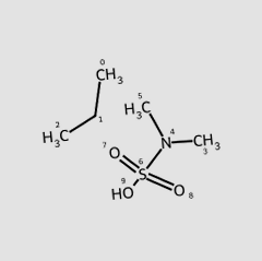 CCC.CN(C)S(=O)(=O)O